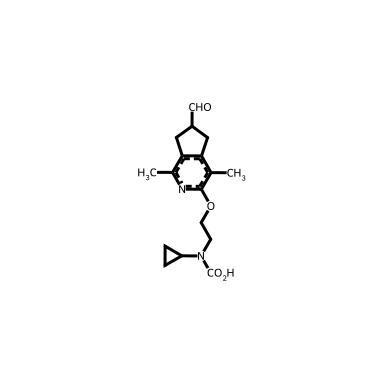 Cc1nc(OCCN(C(=O)O)C2CC2)c(C)c2c1CC(C=O)C2